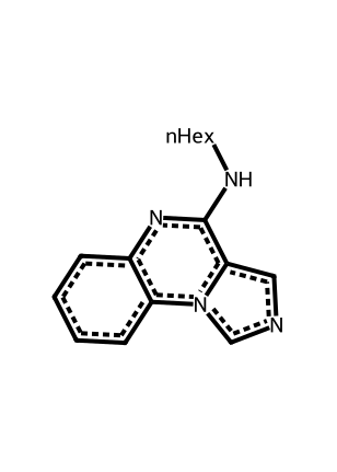 CCCCCCNc1nc2ccccc2n2cncc12